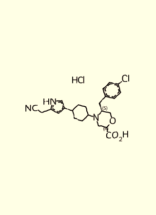 Cl.N#CCc1cc(C2CCC(N3C[C@H](C(=O)O)OC[C@@H]3Cc3ccc(Cl)cc3)CC2)c[nH]1